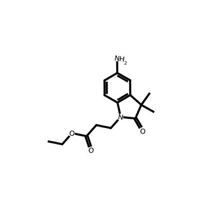 CCOC(=O)CCN1C(=O)C(C)(C)c2cc(N)ccc21